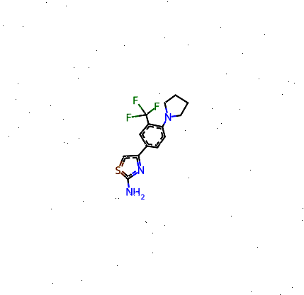 Nc1nc(-c2ccc(N3CCCC3)c(C(F)(F)F)c2)cs1